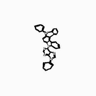 C1=CC(n2cnc3c(-n4c5ccccc5c5c6c7ccccc7n(-c7ccccc7)c6ccc54)ncnc32)=CCC1